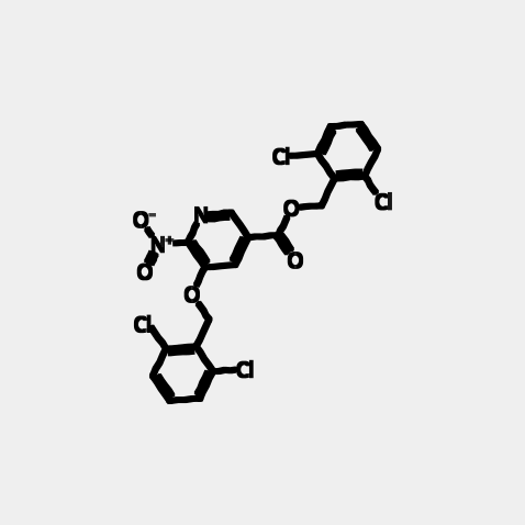 O=C(OCc1c(Cl)cccc1Cl)c1cnc([N+](=O)[O-])c(OCc2c(Cl)cccc2Cl)c1